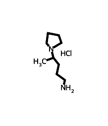 CC(CCCN)N1CCCC1.Cl